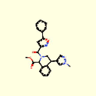 COC(=O)C1c2ccccc2C(c2cnn(C)c2)CN1C(=O)c1cc(-c2ccccc2)on1